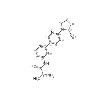 CC(N)C(=O)Nc1ccnc(-c2cnc(N3CCCC3C(F)(F)F)nc2)n1